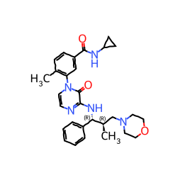 Cc1ccc(C(=O)NC2CC2)cc1-n1ccnc(N[C@@H](c2ccccc2)[C@H](C)CN2CCOCC2)c1=O